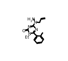 C=CCN(N)c1nc(-c2ccccc2C)n(CC)c(=O)n1